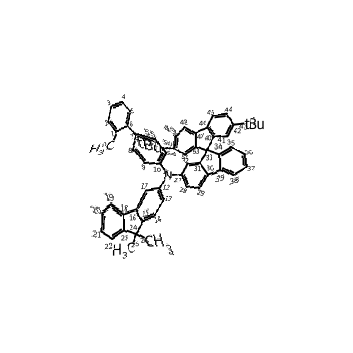 Cc1ccccc1-c1ccc(N(c2ccc3c(c2)-c2ccccc2C3(C)C)c2ccc3c(c2)C2(c4ccccc4-3)c3cc(C(C)(C)C)ccc3-c3ccc(C(C)(C)C)cc32)cc1